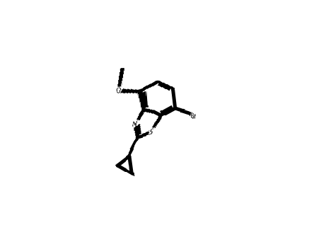 COc1ccc(Br)c2sc(C3CC3)nc12